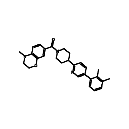 Cc1cccc(-c2ccc(C3CCN(C(=O)c4ccc5c(c4)OCCN5C)CC3)nc2)c1C